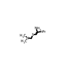 CCC/C(N)=C/SCN(C)C